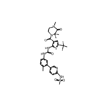 Cc1ccc(NC(=O)Nc2sc(C(C)(C)C)cc2C(=O)N2CCN(C)C(=O)C2(C)C)cc1-c1ccc(NS(C)(=O)=O)nc1